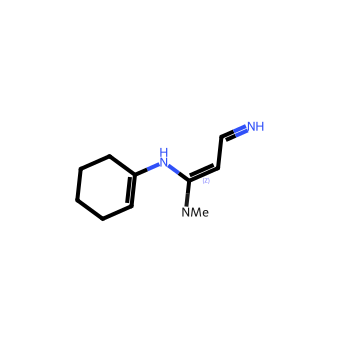 CN/C(=C/C=N)NC1=CCCCC1